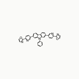 c1ccc(-n2c3cc(-c4ccc(-c5ncco5)nc4)ccc3c3ccc(-c4ccc(-c5ncco5)nc4)cc32)cc1